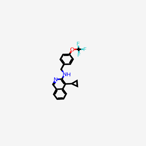 FC(F)(F)Oc1ccc(CNc2ncc3ccccc3c2C2CC2)cc1